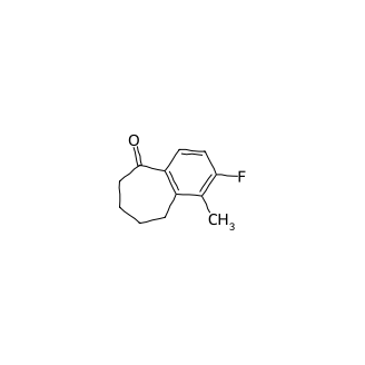 Cc1c(F)ccc2c1CCCCC2=O